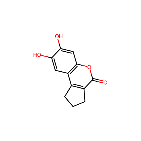 O=c1oc2cc(O)c(O)cc2c2c1CCC2